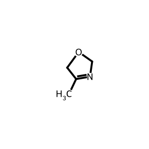 CC1=NCOC1